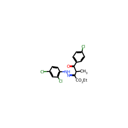 CCOC(=O)/C(=N/Nc1ccc(Cl)cc1Cl)C(C)C(=O)c1ccc(Cl)cc1